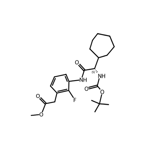 COC(=O)Cc1cccc(NC(=O)[C@@H](NC(=O)OC(C)(C)C)C2CCCCCC2)c1F